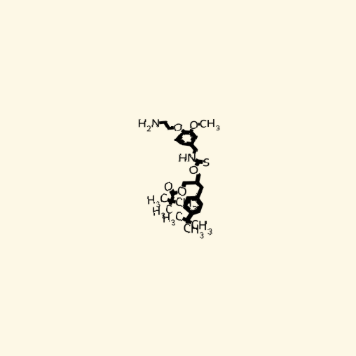 COc1cc(CNC(=S)OCC(COC(=O)C(C)(C)C)Cc2ccc(C(C)(C)C)cc2)ccc1OCCN